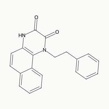 O=c1[nH]c2ccc3ccccc3c2n(CCc2ccccc2)c1=O